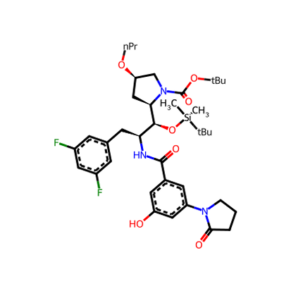 CCCO[C@@H]1C[C@H]([C@@H](O[Si](C)(C)C(C)(C)C)[C@H](Cc2cc(F)cc(F)c2)NC(=O)c2cc(O)cc(N3CCCC3=O)c2)N(C(=O)OC(C)(C)C)C1